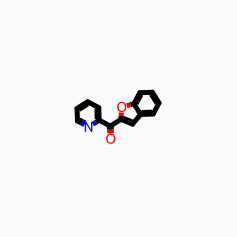 O=C(c1ccccn1)c1cc2ccccc2o1